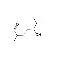 CC(C=O)CCC(O)C(C)C